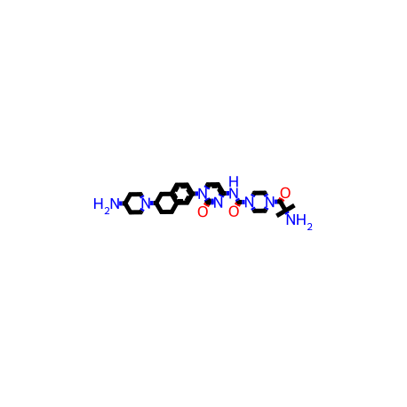 CC(C)(N)C(=O)N1CCN(C(=O)Nc2ccn(-c3ccc4c(c3)CCC(N3CCC(N)CC3)C4)c(=O)n2)CC1